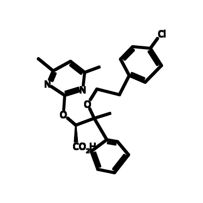 Cc1cc(C)nc(O[C@H](C(=O)O)C(C)(OCCc2ccc(Cl)cc2)c2ccccc2)n1